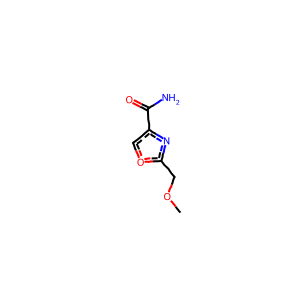 COCc1nc(C(N)=O)co1